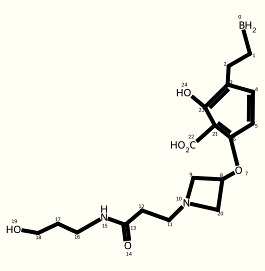 BCCc1ccc(OC2CN(CCC(=O)NCCCO)C2)c(C(=O)O)c1O